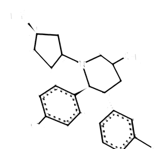 CC1C[C@H](c2cccc(Cl)c2)[C@@H](c2ccc(Cl)cc2)N(C2CC[C@@H](C)C2)C1